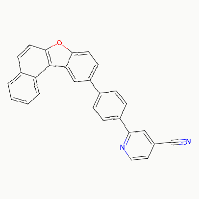 N#Cc1ccnc(-c2ccc(-c3ccc4oc5ccc6ccccc6c5c4c3)cc2)c1